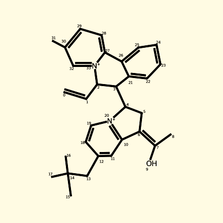 C=CC1C(C2C/C(=C(\C)O)c3cc(CC(C)(C)C)cc[n+]32)c2ccccc2-c2ccc(C)c[n+]21